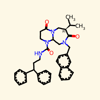 CC(C)[C@@H]1CN2C(=O)CCN(C(=O)NCCC(c3ccccc3)c3ccccc3)C2CN(Cc2ccc3ccccc3c2)C1=O